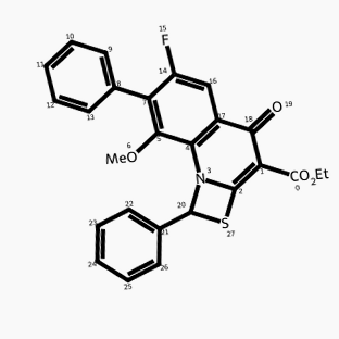 CCOC(=O)c1c2n(c3c(OC)c(-c4ccccc4)c(F)cc3c1=O)C(c1ccccc1)S2